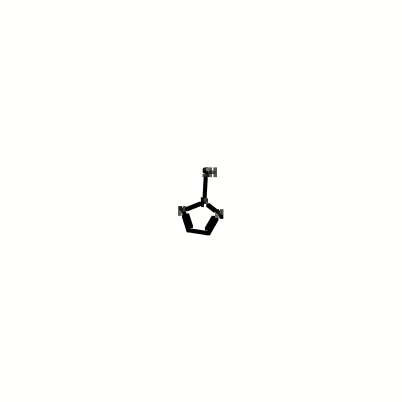 Sp1nccn1